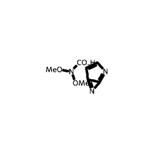 CON(OC)C(=O)O.c1cc2nc-2n1